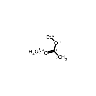 CCOC(C)=O.[GeH4]